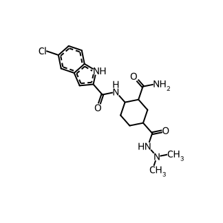 CN(C)NC(=O)C1CCC(NC(=O)c2cc3cc(Cl)ccc3[nH]2)C(C(N)=O)C1